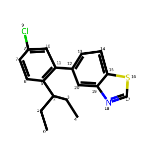 CCC(CC)c1ccc(Cl)cc1-c1ccc2scnc2c1